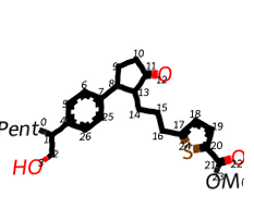 CCCCCC(CO)c1ccc(C2CCC(=O)C2CCCc2ccc(C(=O)OC)s2)cc1